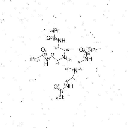 CCC(=O)NCCN(CCNC(=O)C(C)C)CCN(CCNC(=O)C(C)C)CCNC(=O)C(C)C